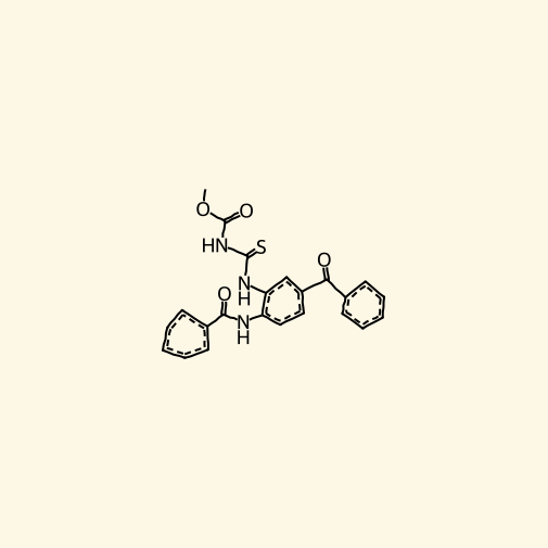 COC(=O)NC(=S)Nc1cc(C(=O)c2ccccc2)ccc1NC(=O)c1ccccc1